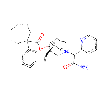 NC(=O)C(c1ccccn1)[N+]12CCC(CC1)[C@@H](OC(=O)C1(c3ccccc3)CCCCCC1)C2